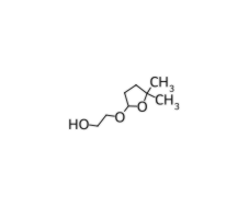 CC1(C)CCC(OCCO)O1